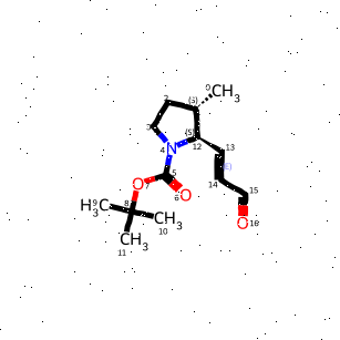 C[C@H]1CCN(C(=O)OC(C)(C)C)[C@@H]1/C=C/C=O